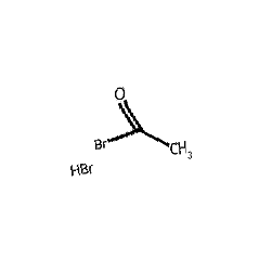 Br.CC(=O)Br